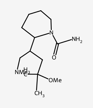 CNCC(CC(C)(C)OC)C1CCCCN1C(N)=O